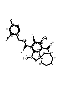 Cc1ccc(CNC(=O)c2c3n4c(c(O)c2=O)C(=O)N2CCCC[C@]4(C[C@H]3O)C2)c(F)c1